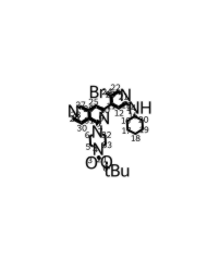 CC(C)(C)OC(=O)N1CCN(c2nc(-c3cc(NC4CCCCC4)ncc3Br)cc3cnccc23)CC1